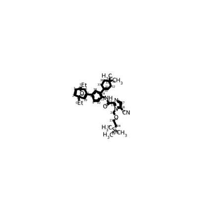 CCC12C=CC(CC)(CC(c3ccc(NC(=O)c4ncc(C#N)n4COCC[Si](C)(C)C)c(C4=CCC(C)(C)CC4)c3)=C1)O2